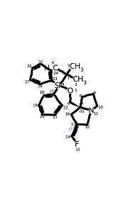 CC(C)(C)[Si](OC[C@@]12CCCN1C/C(=C\F)C2)(c1ccccc1)c1ccccc1